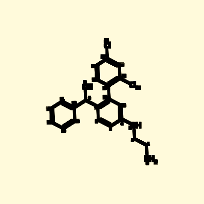 NCCNc1ccc(C(O)c2ccccc2)c(-c2ccc(Cl)cc2Cl)c1